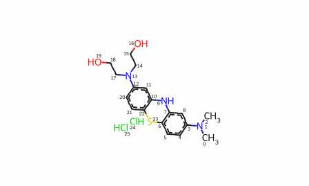 CN(C)c1ccc2c(c1)Nc1cc(N(CCO)CCO)ccc1S2.Cl.Cl